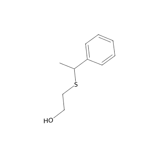 CC(SCCO)c1ccccc1